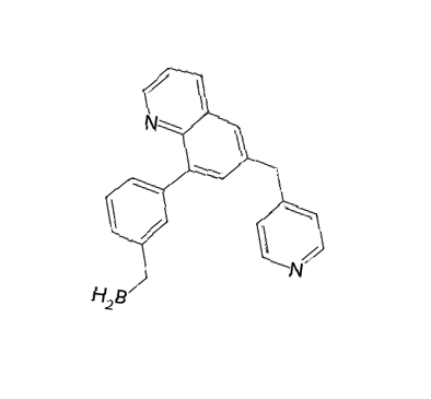 BCc1cccc(-c2cc(Cc3ccncc3)cc3cccnc23)c1